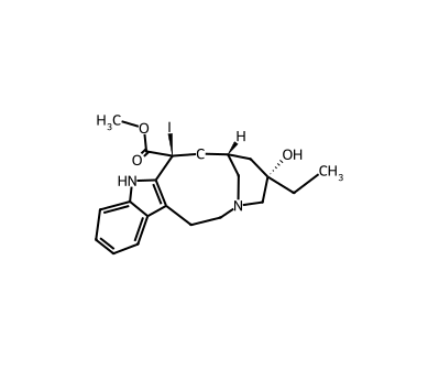 CC[C@]1(O)C[C@@H]2CN(CCc3c([nH]c4ccccc34)[C@](I)(C(=O)OC)C2)C1